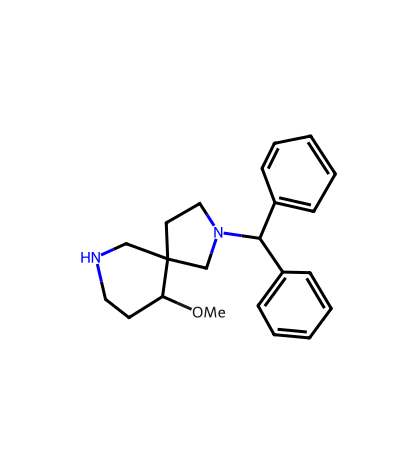 COC1CCNCC12CCN(C(c1ccccc1)c1ccccc1)C2